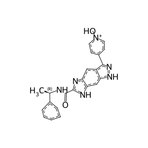 C[C@@H](NC(=O)c1nc2cc3c(-c4cc[n+](O)cc4)n[nH]c3cc2[nH]1)c1ccccc1